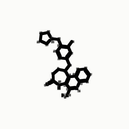 Cc1cc(CC2CCC(=O)Nc3c(N)nc4ccccc4c32)ccc1CN1CCCC1